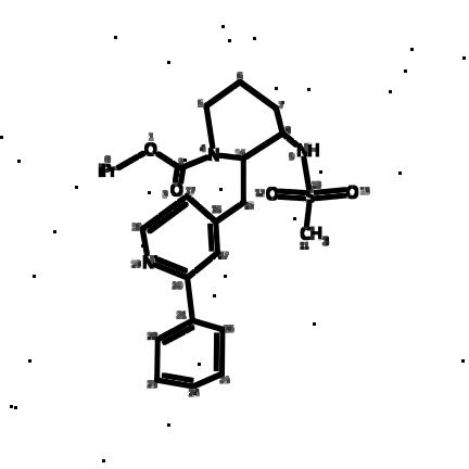 CC(C)OC(=O)N1CCCC(NS(C)(=O)=O)C1Cc1ccnc(-c2ccccc2)c1